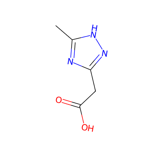 Cc1nc(CC(=O)O)n[nH]1